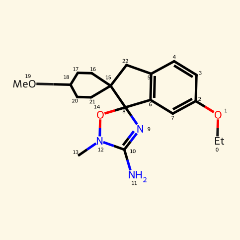 CCOc1ccc2c(c1)C1(N=C(N)N(C)O1)C1(CCC(OC)CC1)C2